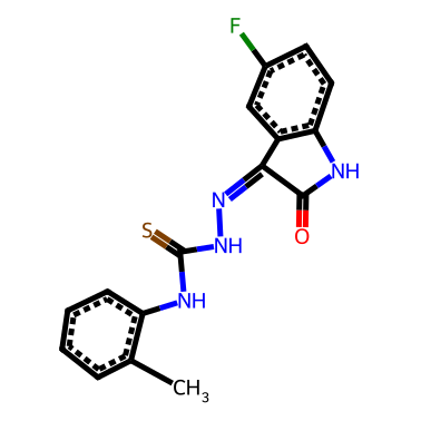 Cc1ccccc1NC(=S)N/N=C1\C(=O)Nc2ccc(F)cc21